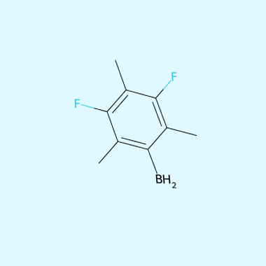 Bc1c(C)c(F)c(C)c(F)c1C